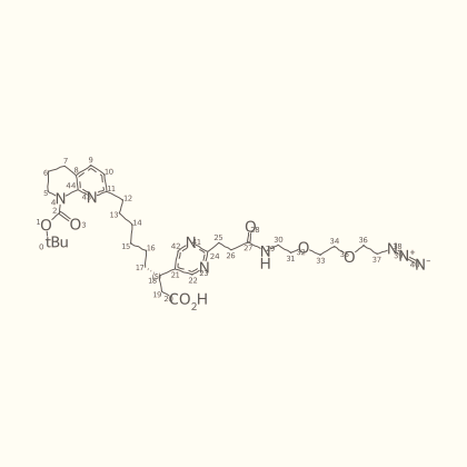 CC(C)(C)OC(=O)N1CCCc2ccc(CCCCCC[C@@H](CC(=O)O)c3cnc(CCC(=O)NCCOCCOCCN=[N+]=[N-])nc3)nc21